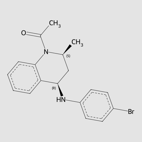 CC(=O)N1c2ccccc2[C@H](Nc2ccc(Br)cc2)C[C@@H]1C